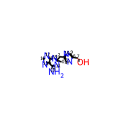 CC1(Cc2cnc(CO)cn2)N=C(N)C2=NC=NC2=N1